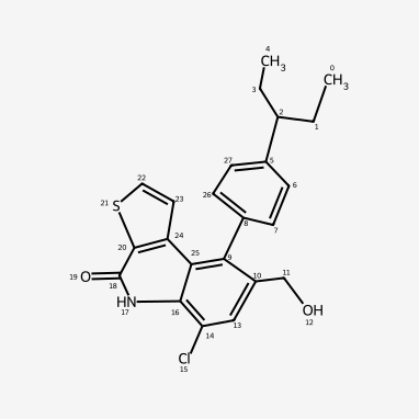 CCC(CC)c1ccc(-c2c(CO)cc(Cl)c3[nH]c(=O)c4sccc4c23)cc1